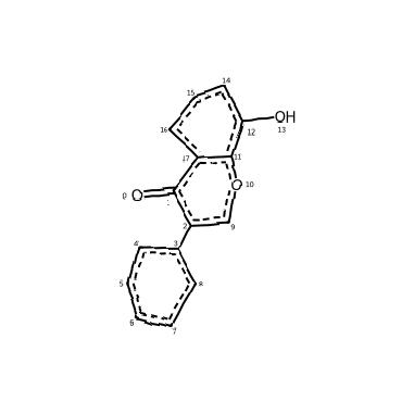 O=c1c(-c2ccccc2)coc2c(O)cccc12